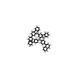 c1ccc(-c2ccc(N(c3ccc(-c4cccc5ccccc45)cc3)c3cc(-n4c5ccccc5c5ccc(-c6ccccc6)cc54)cc4c3sc3ccccc34)cc2)cc1